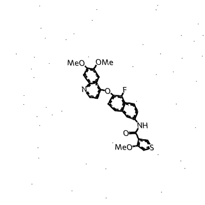 COc1cc2nccc(Oc3ccc4cc(NC(=O)c5cscc5OC)ccc4c3F)c2cc1OC